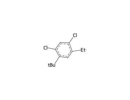 C[CH]c1cc(C(C)(C)C)c(Cl)cc1Cl